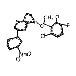 CC(On1ccc2ncc(-c3cccc([N+](=O)[O-])c3)cc21)c1c(Cl)ccc(F)c1Cl